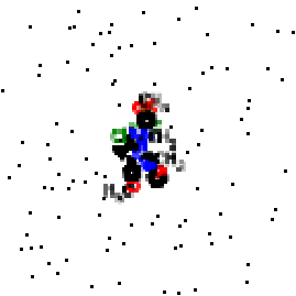 COc1ccc(CN(c2cc(C)n(C3CCCCO3)n2)c2nc(N(C)c3c(F)cc(S(C)(=O)=O)cc3F)nc(Cl)c2C2CC2)cc1